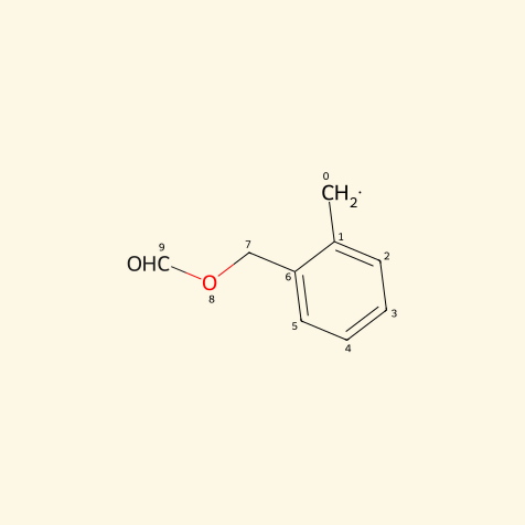 [CH2]c1ccccc1COC=O